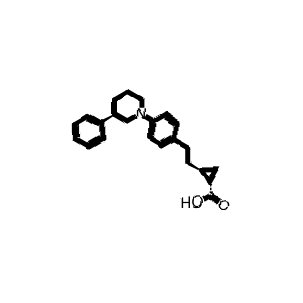 O=C(O)[C@H]1C[C@@H]1CCc1ccc(N2CCC[C@H](c3ccccc3)C2)cc1